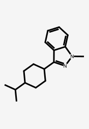 CC(C)C1CCC(c2nn(C)c3ccccc23)CC1